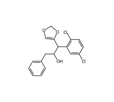 OC(Cc1ccccc1)C(C1=COCO1)c1cc(Cl)ccc1Cl